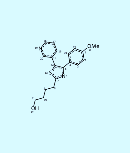 COc1ccc(-c2nc(CCCCO)sc2-c2cccnc2)cc1